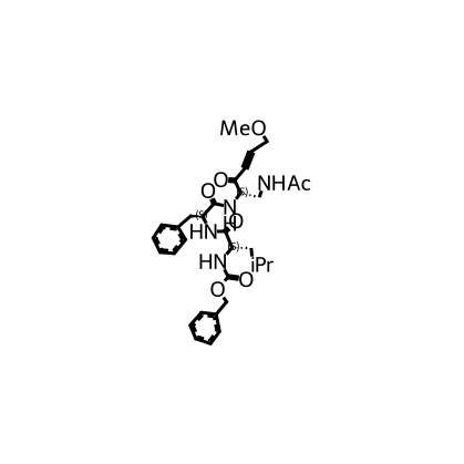 COCC#CC(=O)[C@H](CNC(C)=O)NC(=O)[C@H](Cc1ccccc1)NC(=O)[C@H](CC(C)C)NC(=O)OCc1ccccc1